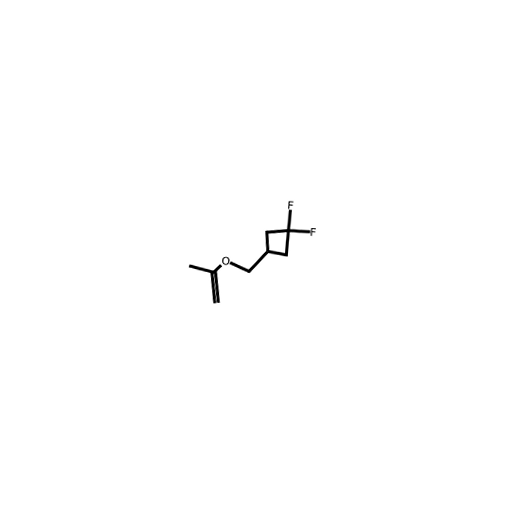 C=C(C)OCC1CC(F)(F)C1